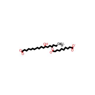 CCCCCCC(O)CCCCCCCCCCC(=O)[O-].O=C([O-])CCCCCCCCC(=O)[O-].[Li+].[Li+].[Li+]